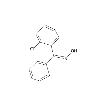 O/N=C(/c1ccccc1)c1ccccc1Cl